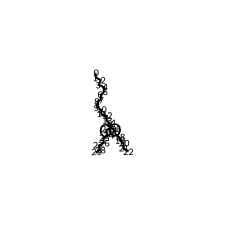 CCCC/C=C\CC/C=C\CCCCCC(OCCCCCC)OCCCCCC